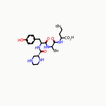 CCC(C)C(NC(=O)C(Cc1ccc(O)cc1)NC(=O)[C@@H]1CNCCN1)C(=O)NC(CCC(C)(C)C)C(=O)O